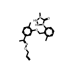 C=CCON=C(C)c1ccc(C)c(OCc2c(C)cccc2N2NNN(C)C2=O)c1